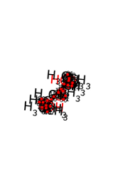 CC1=C(C(C(O)/C(C)=C/CC/C(C)=C/CC(/C=C(\C)CC/C=C(\C)C(O)C(C2=C(C)CCCC2(C)C)S(=O)(=O)c2ccccc2)S(=O)(=O)c2ccccc2)S(=O)(=O)c2ccccc2)C(C)(C)CCC1